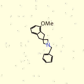 COc1cccc2c1CC1(C2)CN(Cc2ccccc2)C1